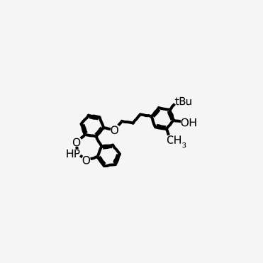 Cc1cc(CCCOc2cccc3o[pH]oc4ccccc4c23)cc(C(C)(C)C)c1O